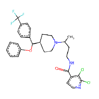 CC(CCNC(=O)c1ccnc(Cl)c1Cl)N1CCC(C(Oc2ccccc2)c2ccc(C(F)(F)F)cc2)CC1